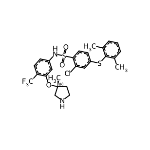 Cc1cccc(C)c1Sc1ccc(S(=O)(=O)Nc2ccc(C(F)(F)F)c(O[C@]3(C)CCNC3)c2)c(Cl)c1